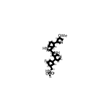 COc1cncc(-c2ccc3[nH]nc(-c4cc5c(-c6cc(F)cc(CNS(C)(=O)=O)c6)ccnc5[nH]4)c3c2)c1